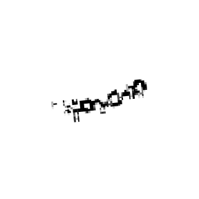 CS(=O)(=O)Nc1ccc(CC(=O)N2CCN(c3nc4ncccc4s3)CC2)cc1